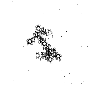 CN[C@@H](C)C(=O)N[C@H](C(=O)N1C[C@@H](NC(=O)c2ccc(C(=O)N[C@H]3C[C@@H](C(=O)NCc4ccc(F)cc4)N(C(=O)[C@@H](NC(=O)[C@H](C)NC)C4CCCCC4)C3)cc2)C[C@H]1C(=O)NCc1ccc(F)cc1)C1CCCCC1